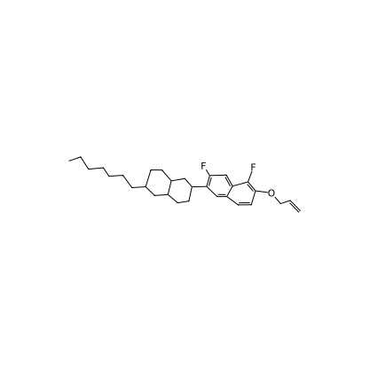 C=CCOc1ccc2cc(C3CCC4CC(CCCCCCC)CCC4C3)c(F)cc2c1F